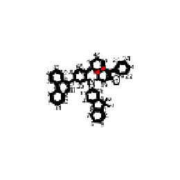 CC1(C)c2ccccc2-c2ccc(N(c3ccc4c(c3)oc3ccccc34)c3cc(-c4cc5ccccc5c5ccccc45)ccc3-c3ccccc3)cc21